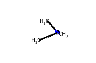 CCCCCCCCCCCCCCCCCCC1N(CC)C=CN1CCCCCCCCCCCCC